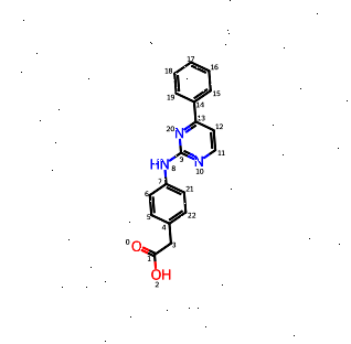 O=C(O)Cc1ccc(Nc2nccc(-c3ccccc3)n2)cc1